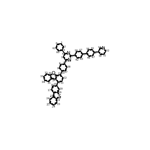 c1ccc(-c2cc(-c3ccc(-c4ccc(-c5ccc6c(c5)sc5ccccc56)c5c4oc4ccccc45)cc3)nc(-c3ccc(-c4ccc(-c5cccnc5)cc4)cc3)n2)cc1